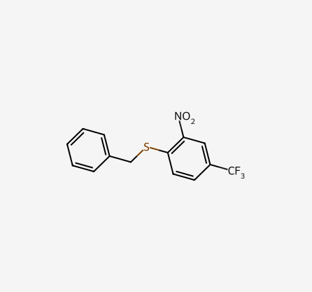 O=[N+]([O-])c1cc(C(F)(F)F)ccc1SCc1ccccc1